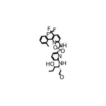 CC[C@@H](O)[C@@H](CC=O)Nc1cccc(S(=O)(=O)Nc2ccc(C(F)(F)F)c(-c3ccccc3C)n2)n1